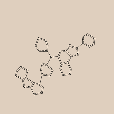 c1ccc(-c2nc3c(cc(N(c4ccccc4)c4ccc(-c5cccc6sc7ccccc7c56)cc4)c4ccccc43)o2)cc1